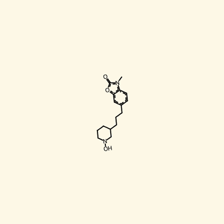 Cn1c(=O)oc2cc(CCCC3CCCN(O)C3)ccc21